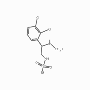 CCS(=O)(=O)NCC(NC(=O)O)c1cccc(Cl)c1Cl